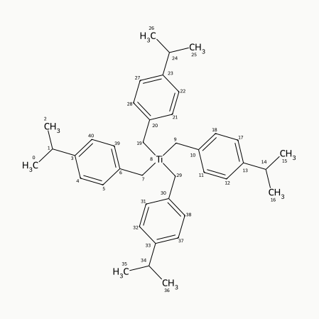 CC(C)c1ccc([CH2][Ti]([CH2]c2ccc(C(C)C)cc2)([CH2]c2ccc(C(C)C)cc2)[CH2]c2ccc(C(C)C)cc2)cc1